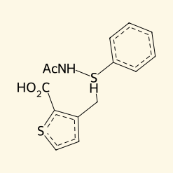 CC(=O)N[SH](Cc1ccsc1C(=O)O)c1ccccc1